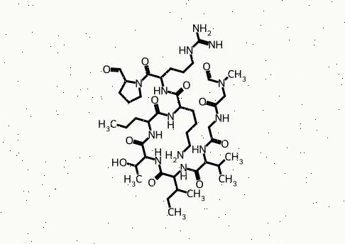 CCCC(NC(=O)C(NC(=O)C(NC(=O)C(NC(=O)CNC(=O)CN(C)C=O)C(C)C)C(C)CC)C(C)O)C(=O)NC(CCCCN)C(=O)NC(CCCNC(=N)N)C(=O)N1CCCC1C=O